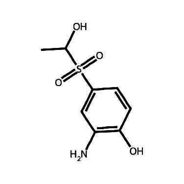 CC(O)S(=O)(=O)c1ccc(O)c(N)c1